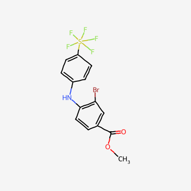 COC(=O)c1ccc(Nc2ccc(S(F)(F)(F)(F)F)cc2)c(Br)c1